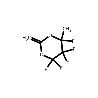 C=C1OC(C)(F)C(F)(F)C(F)(F)O1